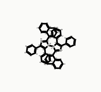 c1ccc(-c2nc(-c3cccc4ccccc34)n(-n3c(-c4cccc5ccccc45)nc(-c4ccccc4)c3-c3ccccc3)c2-c2ccccc2)cc1